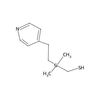 C[Si](C)(CS)CCc1ccncc1